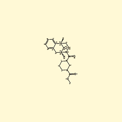 COC(=O)C1CCCC(C(=O)N2CC[C@@]3(C)c4ccccc4C[C@@H]2C3(C)C)C1